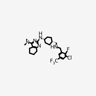 CN(C)c1nc(N[C@H]2CC[C@@H](CNCc3cc(C(F)(F)F)cc(Cl)c3F)CC2)nc2c1CCCC2